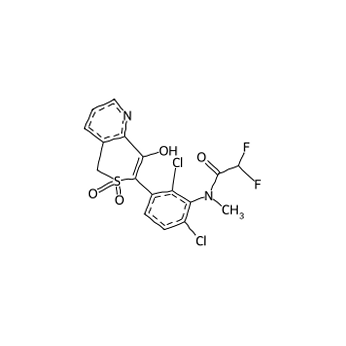 CN(C(=O)C(F)F)c1c(Cl)ccc(C2=C(O)c3ncccc3CS2(=O)=O)c1Cl